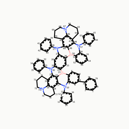 c1ccc(-c2ccc3c(c2)N(c2ccccc2)c2c4c5c(c6c2B3c2cc3c(cc2N6c2ccccc2)N(c2ccccc2)c2c6c7c(c8c2B3c2ccccc2N8c2ccccc2)CCCN7CCC6)CCCN5CCC4)cc1